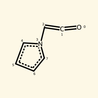 O=C=Cn1cccc1